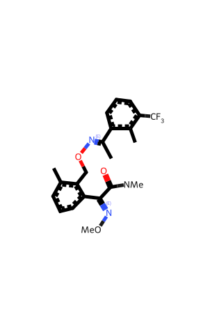 CNC(=O)/C(=N/OC)c1cccc(C)c1CO/N=C(\C)c1cccc(C(F)(F)F)c1C